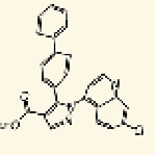 CC(C)(C)OC(=O)c1cnn(-c2ccnc3cc(Cl)ccc23)c1-c1ccc(-c2ccccc2)cc1